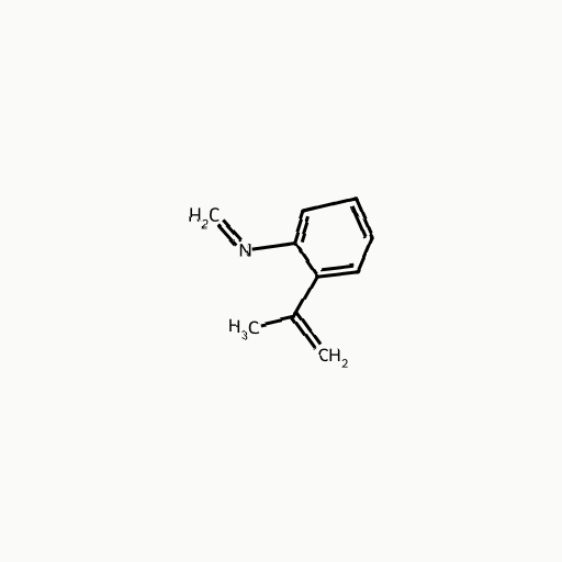 C=Nc1ccccc1C(=C)C